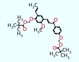 CC=Cc1cc(C=CC(=O)c2ccc(OCOC(=O)C(C)(C)C)cc2)c(OC)cc1OCOC(=O)C(C)(C)C